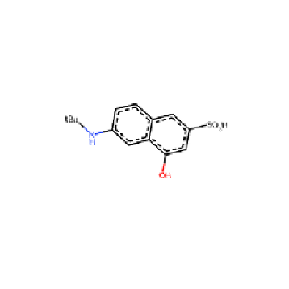 CC(C)(C)Nc1ccc2cc(S(=O)(=O)O)cc(O)c2c1